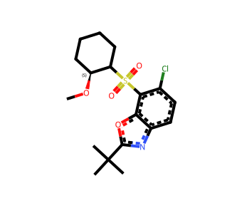 CO[C@H]1CCCCC1S(=O)(=O)c1c(Cl)ccc2nc(C(C)(C)C)oc12